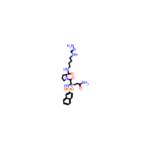 NN=CNCCCCNC(=O)[C@@H]1CCCN1C(=O)[C@@H](CCC(N)=O)NS(=O)(=O)c1ccc2ccccc2c1